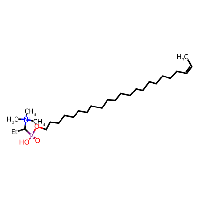 C/C=C\CCCCCCCCCCCCCCCCCCCCOP(=O)(O)C(CC)[N+](C)(C)C